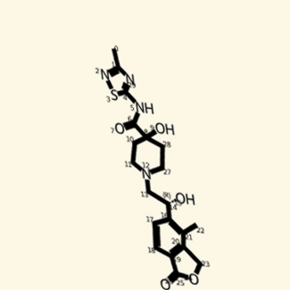 Cc1nsc(NC(=O)C2(O)CCN(C[C@H](O)c3ccc4c(c3C)COC4=O)CC2)n1